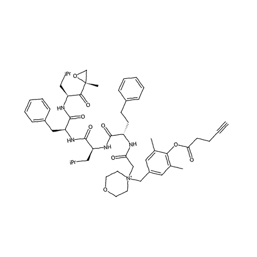 C#CCCC(=O)Oc1c(C)cc(C[N+]2(CC(=O)N[C@@H](CCc3ccccc3)C(=O)N[C@@H](CC(C)C)C(=O)N[C@@H](Cc3ccccc3)C(=O)N[C@@H](CC(C)C)C(=O)[C@@]3(C)CO3)CCOCC2)cc1C